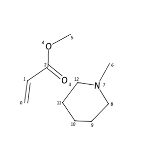 C=CC(=O)OC.CN1CCCCC1